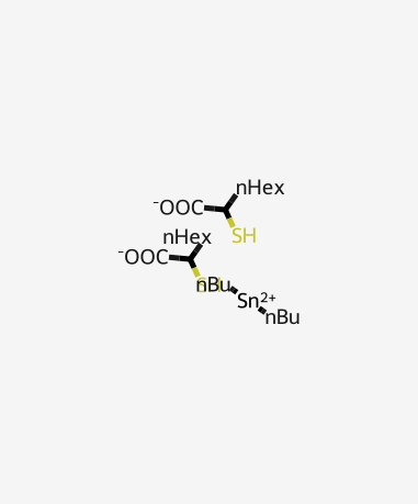 CCCCCCC(S)C(=O)[O-].CCCCCCC(S)C(=O)[O-].CCC[CH2][Sn+2][CH2]CCC